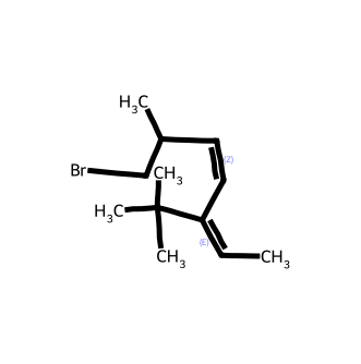 C/C=C(\C=C/C(C)CBr)C(C)(C)C